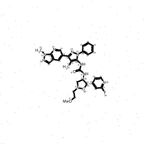 COCCN1C[C@@H](NC(=O)Nc2c(C)c(-c3cnc4c(cnn4C)c3)nn2-c2ccccc2)[C@H](c2ccnc(F)c2)O1